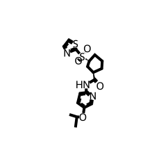 CC(C)Oc1ccc(NC(=O)[C@@H]2CCC[C@@H](S(=O)(=O)c3nccs3)C2)nc1